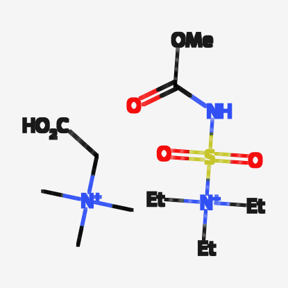 CC[N+](CC)(CC)S(=O)(=O)NC(=O)OC.C[N+](C)(C)CC(=O)O